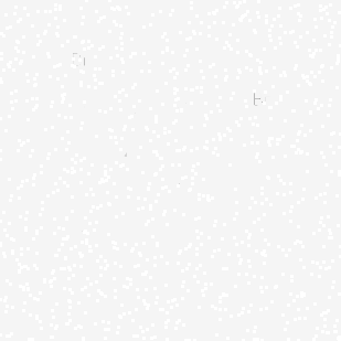 Cc1ccc(C2(CBr)CC2CBr)cc1